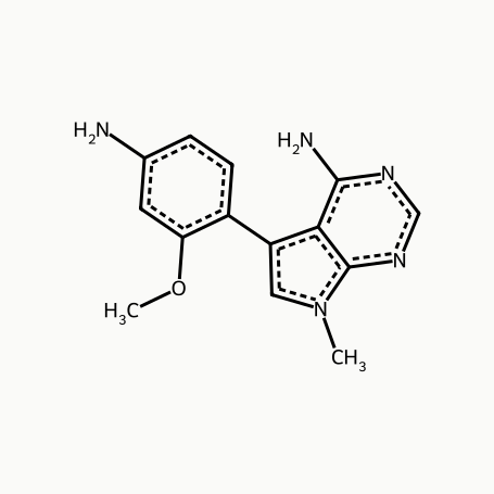 COc1cc(N)ccc1-c1cn(C)c2ncnc(N)c12